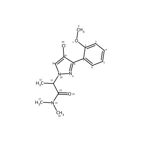 COc1ccccc1-c1nn(C(C)C(=O)N(C)C)cc1Cl